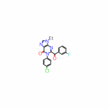 CCn1cnc2c(=O)n(-c3ccc(Cl)cc3)c(C(=O)c3cccc(F)c3)nc21